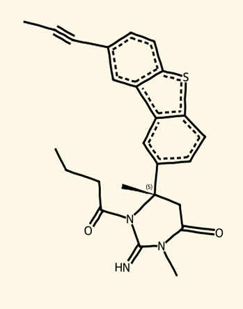 CC#Cc1ccc2sc3ccc([C@]4(C)CC(=O)N(C)C(=N)N4C(=O)CCC)cc3c2c1